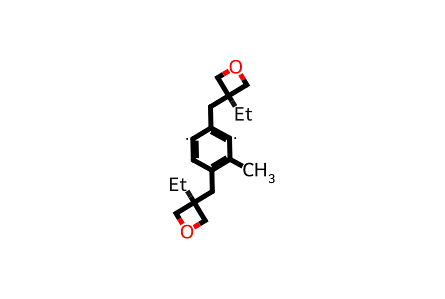 CCC1(Cc2[c]cc(CC3(CC)COC3)c(C)[c]2)COC1